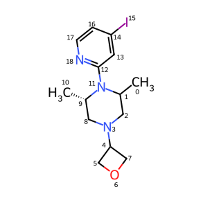 CC1CN(C2COC2)C[C@H](C)N1c1cc(I)ccn1